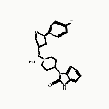 Cl.O=c1[nH]c2ccccc2n1C1CCN(CC2COC(c3ccc(F)cc3)C2)CC1